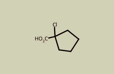 O=C(O)C1(Cl)CCCC1